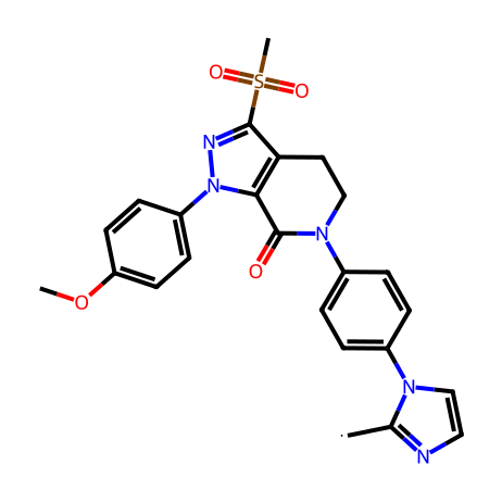 [CH2]c1nccn1-c1ccc(N2CCc3c(S(C)(=O)=O)nn(-c4ccc(OC)cc4)c3C2=O)cc1